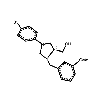 COc1cccc(CN2CN(c3ccc(Br)cc3)C[C@H]2CO)c1